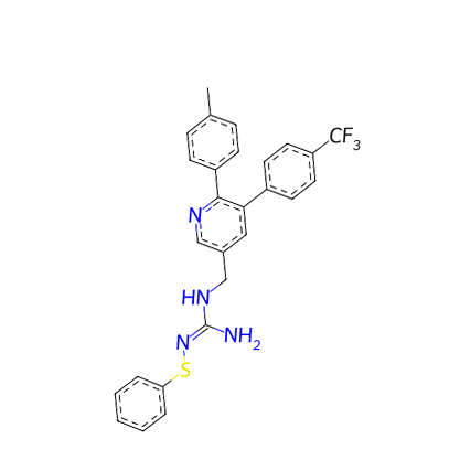 Cc1ccc(-c2ncc(CN/C(N)=N/Sc3ccccc3)cc2-c2ccc(C(F)(F)F)cc2)cc1